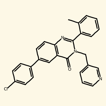 Cc1ccccc1-c1nc2ccc(-c3ccc(Cl)cc3)cc2c(=O)n1Cc1cccnc1